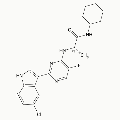 C[C@H](Nc1nc(-c2c[nH]c3ncc(Cl)cc23)ncc1F)C(=O)NC1CCCCC1